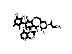 C=CC(=O)N1CC(C)N2c3nc(=O)n(-c4c(C)ccnc4C(C)C)c4cc(-c5c(N)c(Cl)cc(Cl)c5F)c(F)c(c34)OCCC2C1